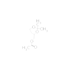 CC(=O)OCC1CCOC(C)(C)O1